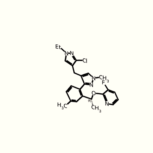 CCn1cc(Cc2cn(C)nc2-c2ccc(C)cc2[C@@H](C)Oc2ncccc2F)c(Cl)n1